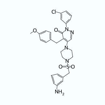 COc1ccc(Cc2c(N3CCN(S(=O)(=O)Cc4cccc(N)c4)CC3)cnn(-c3cccc(Cl)c3)c2=O)cc1